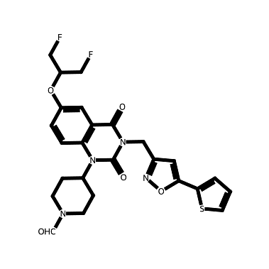 O=CN1CCC(n2c(=O)n(Cc3cc(-c4cccs4)on3)c(=O)c3cc(OC(CF)CF)ccc32)CC1